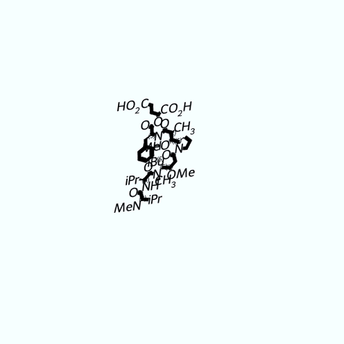 CC[C@H](C)[C@@H]([C@@H](CC(=O)N1CCC[C@H]1[C@H](OC)[C@@H](C)C(=O)N[C@@H](Cc1ccccc1)C(=O)OC(CCC(=O)O)C(=O)O)OC)N(C)C(=O)[C@@H](NC(=O)[C@@H](NC)C(C)C)C(C)C